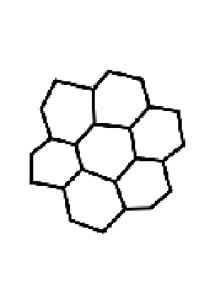 C1CC2CCC3CCC4CCC5CCC6CCC1C1C2C3C4C5C61